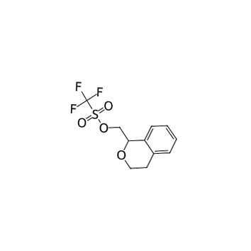 O=S(=O)(OCC1OCCc2ccccc21)C(F)(F)F